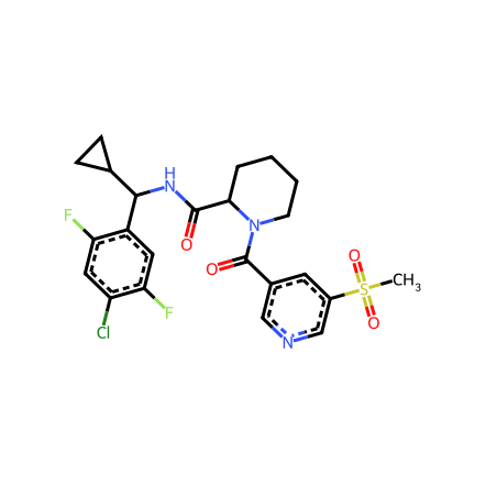 CS(=O)(=O)c1cncc(C(=O)N2CCCCC2C(=O)NC(c2cc(F)c(Cl)cc2F)C2CC2)c1